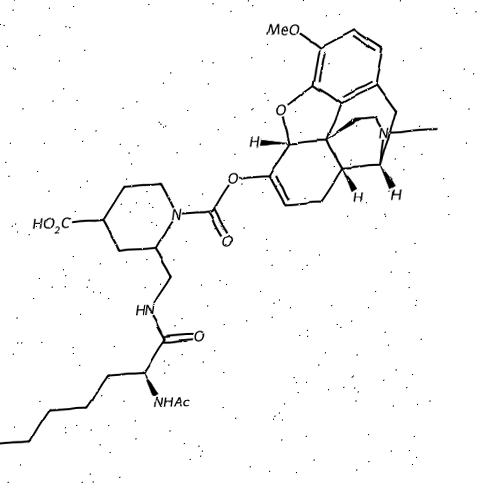 COc1ccc2c3c1O[C@H]1C(OC(=O)N4CCC(C(=O)O)CC4CNC(=O)[C@H](CCCCN)NC(C)=O)=CC[C@H]4[C@@H](C2)N(C)CC[C@]314